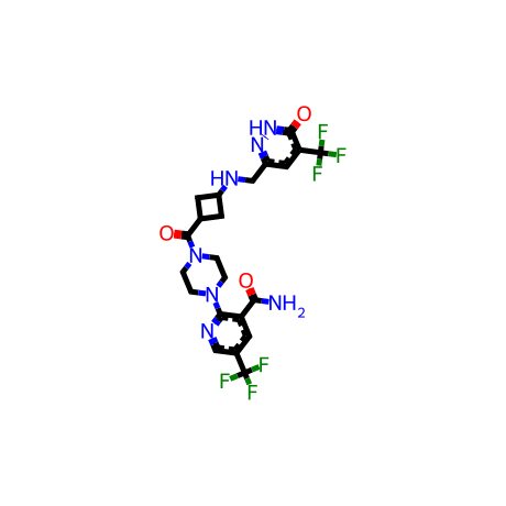 NC(=O)c1cc(C(F)(F)F)cnc1N1CCN(C(=O)C2CC(NCc3cc(C(F)(F)F)c(=O)[nH]n3)C2)CC1